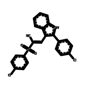 N#CC(=Cc1c(-c2ccc(Cl)cc2)[nH]c2ccccc12)S(=O)(=O)c1ccc(Cl)cc1